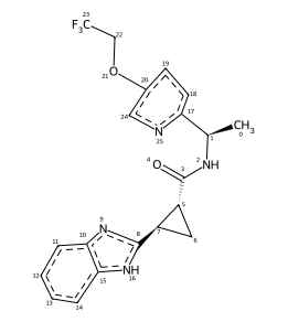 C[C@@H](NC(=O)[C@@H]1C[C@H]1c1nc2ccccc2[nH]1)c1ccc(OCC(F)(F)F)cn1